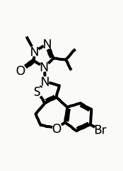 CC(C)c1nn(C)c(=O)n1N1CC2=C(CCOc3cc(Br)ccc32)S1